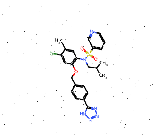 Cc1cc(N(CC(C)C)S(=O)(=O)c2cccnc2)c(OCc2ccc(-c3nnn[nH]3)cc2)cc1Cl